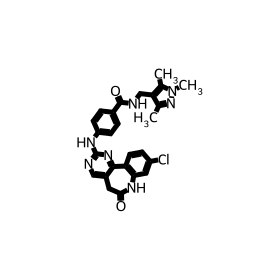 Cc1nn(C)c(C)c1CNC(=O)c1ccc(Nc2ncc3c(n2)-c2ccc(Cl)cc2NC(=O)C3)cc1